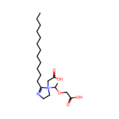 CCCCCCCCCCCCC1=NCC[N+]1(CC(=O)O)C(C)OCC(=O)O